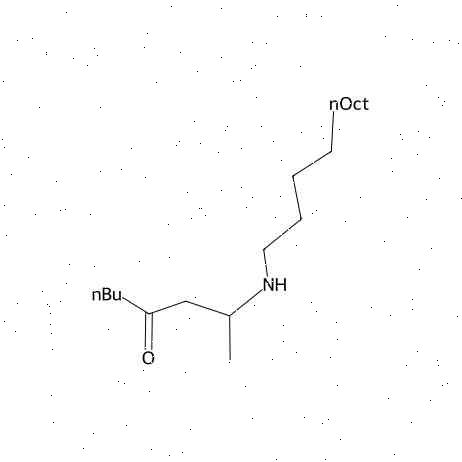 CCCCCCCCCCCCNC(C)CC(=O)CCCC